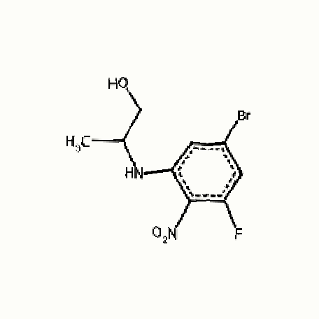 CC(CO)Nc1cc(Br)cc(F)c1[N+](=O)[O-]